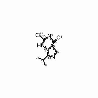 CC(C)c1ncc2c(=O)nc(Cl)[nH]n12